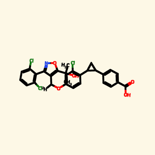 [2H]C(Oc1ccc(C2CC2c2ccc(C(=O)O)cc2)c(Cl)c1)c1c(-c2c(Cl)cccc2Cl)noc1C(C)(C)O